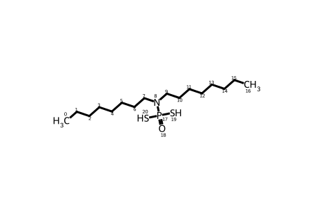 CCCCCCCCN(CCCCCCCC)P(=O)(S)S